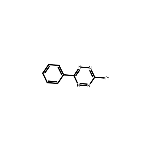 CC(C)c1nnc(-c2ccccc2)nn1